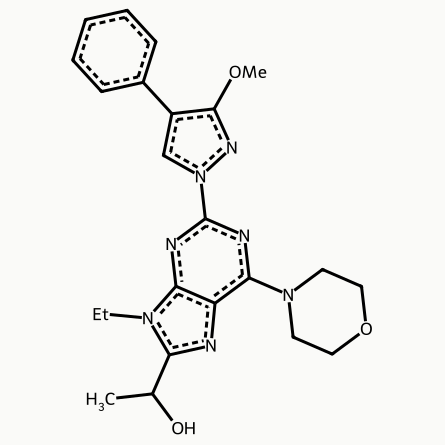 CCn1c(C(C)O)nc2c(N3CCOCC3)nc(-n3cc(-c4ccccc4)c(OC)n3)nc21